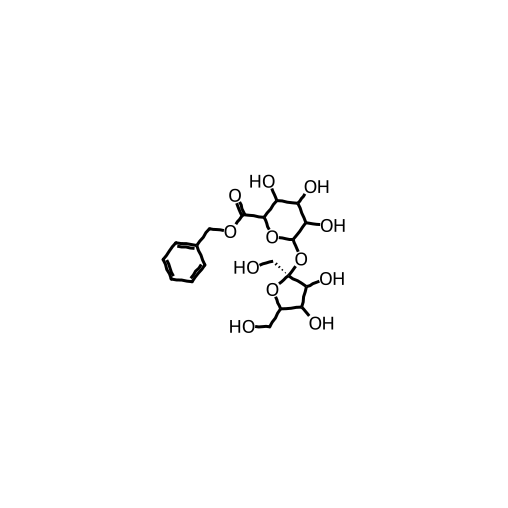 O=C(OCc1ccccc1)C1OC(O[C@]2(CO)OC(CO)C(O)C2O)C(O)C(O)C1O